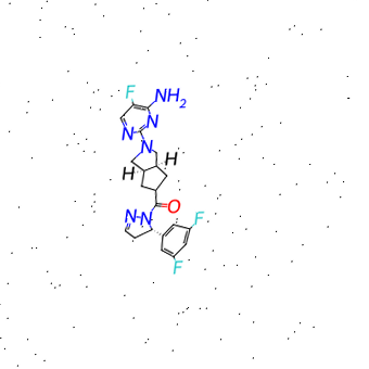 Nc1nc(N2C[C@H]3CC(C(=O)N4N=CC[C@H]4c4cc(F)cc(F)c4)C[C@H]3C2)ncc1F